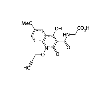 C#CCOn1c(=O)c(C(=O)NCC(=O)O)c(O)c2cc(OC)ccc21